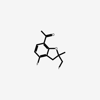 CC(=O)c1ccc(F)c2c1OC(C)(CI)C2